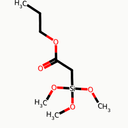 CCCOC(=O)C[Si](OC)(OC)OC